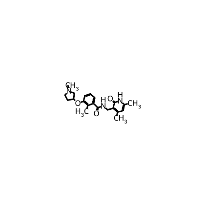 Cc1cc(C)c(CNC(=O)c2cccc(OC3CCN(C)C3)c2C)c(=O)[nH]1